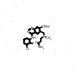 COc1cc2ncnc(Nc3cccc(Cl)c3F)c2cc1CN(C)CCC(N)=O